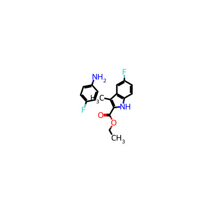 CCOC(=O)c1[nH]c2ccc(F)cc2c1C.Nc1ccc(F)cc1